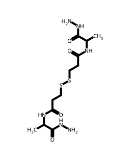 CC(NC(=O)CCSSCCC(=O)NC(C)C(=O)NN)C(=O)NN